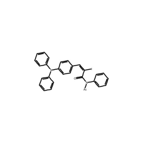 CC(=O)N(C(=O)/C(I)=C\c1ccc(N(c2ccccc2)c2ccccc2)cc1)c1ccccc1